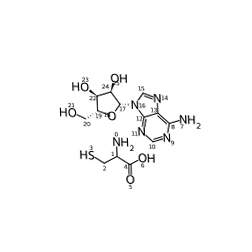 NC(CS)C(=O)O.Nc1ncnc2c1ncn2[C@@H]1O[C@H](CO)[C@@H](O)[C@H]1O